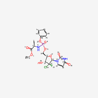 CC(C)OC(=O)[C@@H](C)NP(=O)(OC[C@H]1O[C@@H](n2ccc(=O)[nH]c2=O)[C@](F)(Cl)[C@@H]1O)Oc1ccccc1